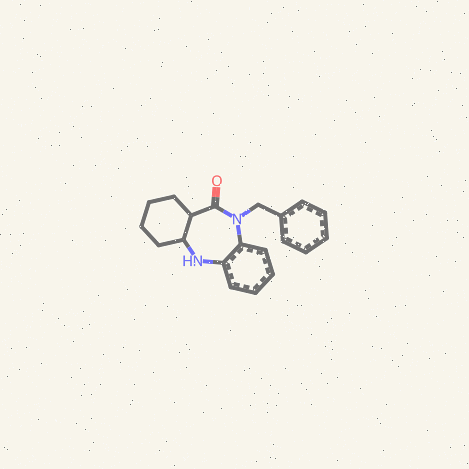 O=C1C2CCCCC2Nc2ccccc2N1Cc1ccccc1